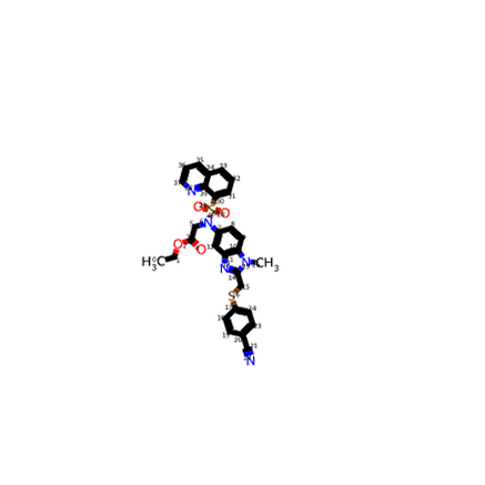 CCOC(=O)CN(c1ccc2c(c1)nc(CSc1ccc(C#N)cc1)n2C)S(=O)(=O)c1cccc2cccnc12